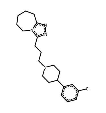 Clc1cccc(C2CCN(CCCc3nnc4n3CCCCC4)CC2)c1